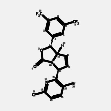 O=C1O[C@H](c2cc(C(F)(F)F)cc(C(F)(F)F)c2)[C@@H]2C=C[C@@H](c3nc(Cl)ccc3Br)N12